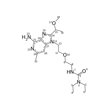 CCN(CC)C(=O)NCCOCCn1c(C(C)OC)nc2c(N)nc(C)cc21